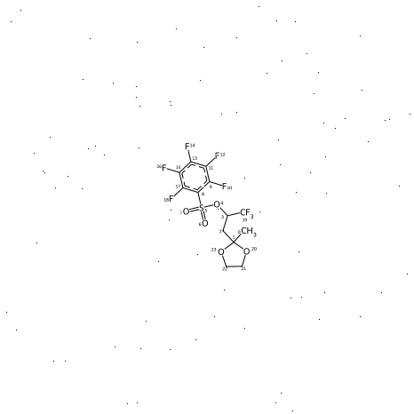 CC1(CC(OS(=O)(=O)c2c(F)c(F)c(F)c(F)c2F)C(F)(F)F)OCCO1